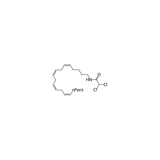 CCCCC/C=C\C/C=C\C/C=C\C/C=C\CCCCNC(=O)C(Cl)Cl